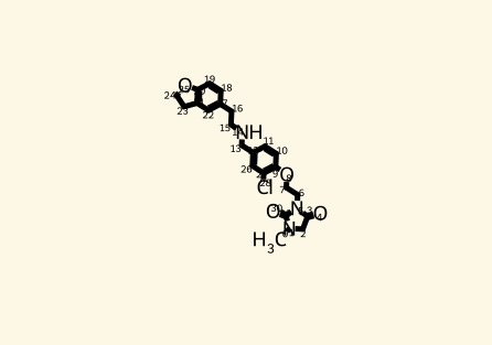 CN1CC(=O)N(CCOc2ccc(CNCCc3ccc4c(c3)CCO4)cc2Cl)C1=O